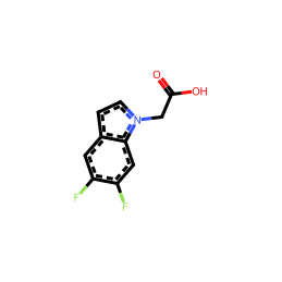 O=C(O)Cn1ccc2cc(F)c(F)cc21